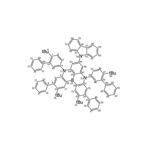 CC(C)(C)c1ccc(N2c3cc(-c4ccccc4)c(C(C)(C)C)cc3B3c4cc(C(C)(C)C)c(-c5ccccc5)cc4N(c4ccc(C(C)(C)C)c(-c5ccccc5)c4)c4cc(-n5c6ccccc6c6ccccc65)cc2c43)cc1-c1ccccc1